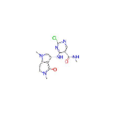 CNC(=O)c1cnc(Cl)nc1Nc1cn(C)c2ccn(C)c(=O)c12